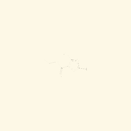 CCOC(=O)c1cc(I)sc1Cl